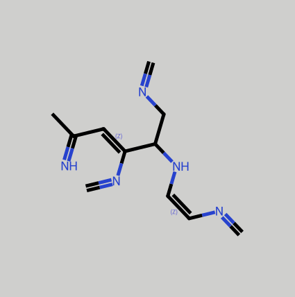 C=N/C=C\NC(CN=C)/C(=C/C(C)=N)N=C